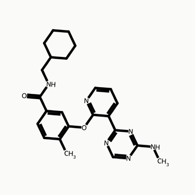 CNc1ncnc(-c2cccnc2Oc2cc(C(=O)NCC3CCCCC3)ccc2C)n1